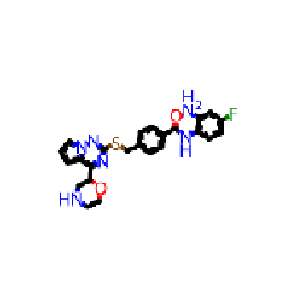 Nc1cc(F)ccc1NC(=O)c1ccc(CSc2nc(C3CNCCO3)c3cccn3n2)cc1